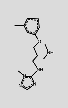 CNC.Cc1cccc(OCCCNc2ncnn2C)c1